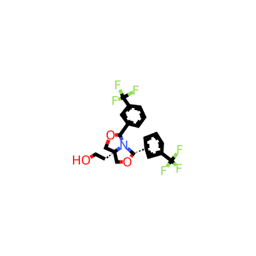 OCC[C@]12COC(c3cccc(C(F)(F)F)c3)N1[C@H](c1cccc(C(F)(F)F)c1)OC2